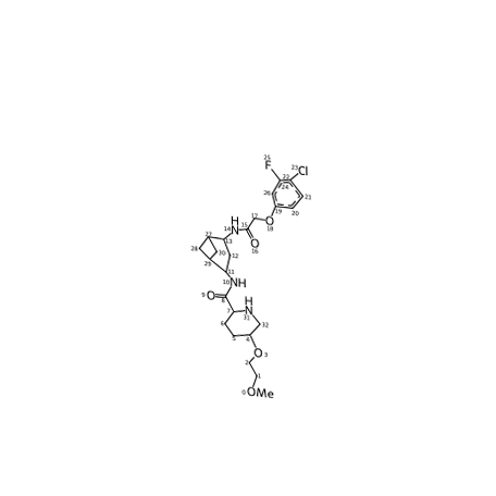 COCCOC1CCC(C(=O)NC2CC(NC(=O)COc3ccc(Cl)c(F)c3)C3CC2C3)NC1